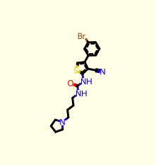 N#Cc1c(-c2cccc(Br)c2)csc1NC(=O)NCCCCN1CCCC1